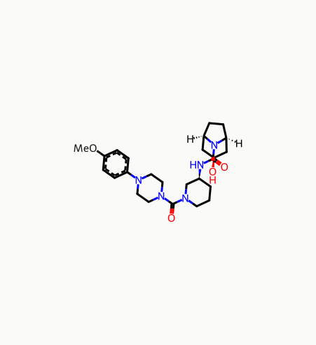 COc1ccc(N2CCN(C(=O)N3CCC[C@H](NC(=O)N4[C@@H]5CC[C@H]4C[C@@H](O)C5)C3)CC2)cc1